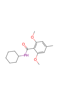 COc1cc(C)cc(OC)c1C(=O)PC1CCCCC1